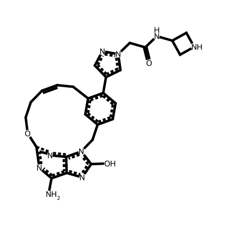 Nc1nc2nc3c1nc(O)n3Cc1ccc(-c3cnn(CC(=O)NC4CNC4)c3)c(c1)C/C=C\CCO2